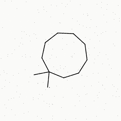 [CH2]C1(C)CCCCCCCC1